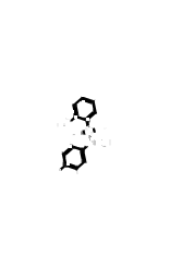 CCCCc1ccccc1S(=O)(=O)Nc1ccc(F)cc1.Cl